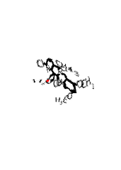 CCC1(C(C)=O)C(=O)N(Cc2ccc(OC)cc2OC)C(C)(C)c2ccc(Cl)nc21